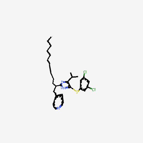 [CH2]CCCCCCCCCC(Cc1ccncc1)c1nc(C(C)C)c(Sc2cc(Cl)cc(Cl)c2)[nH]1